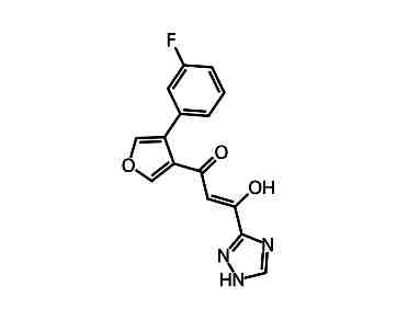 O=C(C=C(O)c1nc[nH]n1)c1cocc1-c1cccc(F)c1